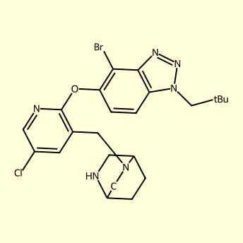 CC(C)(C)Cn1nnc2c(Br)c(Oc3ncc(Cl)cc3CN3CC4CCC3CN4)ccc21